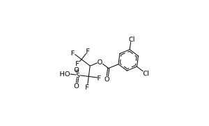 O=C(OC(C(F)(F)F)C(F)(F)S(=O)(=O)O)c1cc(Cl)cc(Cl)c1